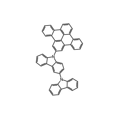 c1ccc2c(c1)c1cccc3c4ccccc4c4cc(-n5c6ccccc6c6cc(-n7c8ccccc8c8ccccc87)ccc65)cc2c4c13